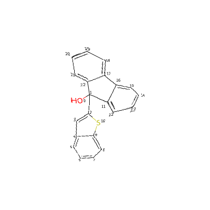 OC1(c2cc3ccccc3s2)c2ccccc2-c2ccccc21